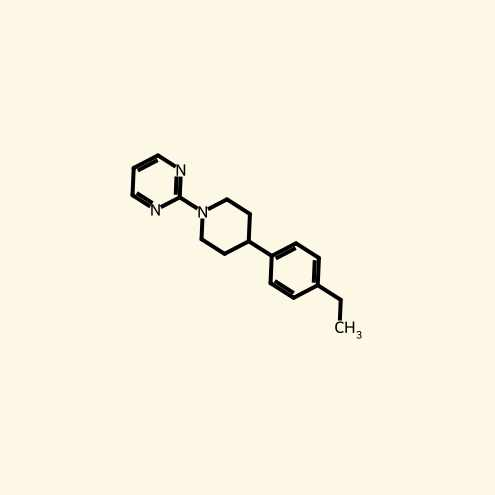 CCc1ccc(C2CCN(c3ncccn3)CC2)cc1